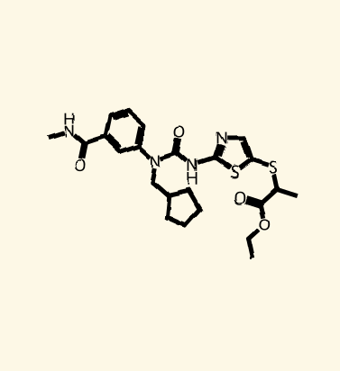 CCOC(=O)C(C)Sc1cnc(NC(=O)N(CC2CCCC2)c2cccc(C(=O)NC)c2)s1